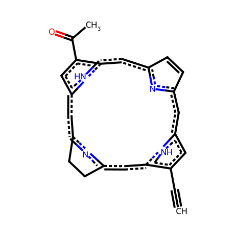 C#Cc1cc2cc3nc(cc4[nH]c(cc5nc(cc1[nH]2)CC5)cc4C(C)=O)C=C3